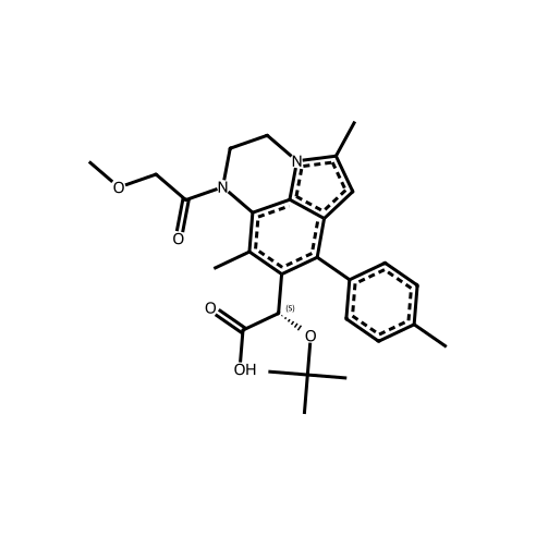 COCC(=O)N1CCn2c(C)cc3c(-c4ccc(C)cc4)c([C@H](OC(C)(C)C)C(=O)O)c(C)c1c32